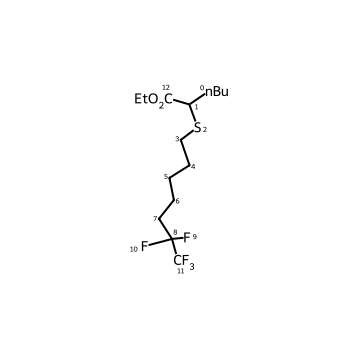 CCCCC(SCCCCCC(F)(F)C(F)(F)F)C(=O)OCC